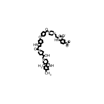 Cc1ccc2c(c1)NC[C@]21CCN(CC(O)C2CCN(C(=O)c3cc4ccc(Oc5ccc(C(=O)N6CCN(CCCNc7ccc([N+](=O)[O-])cc7[N+](=O)[O-])CC6)cc5)cc4[nH]3)CC2)C[C@H]1C